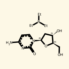 CCN(CC)CC.Nc1ccn([C@H]2C[C@H](O)[C@@H](CO)O2)c(=O)n1